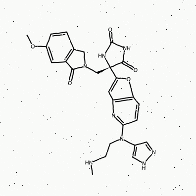 CNCCN(c1cn[nH]c1)c1ccc2oc([C@]3(CN4Cc5ccc(OC)cc5C4=O)NC(=O)NC3=O)cc2n1